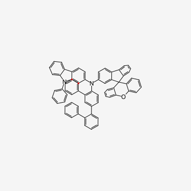 c1ccc(-c2ccccc2-c2ccc(N(c3ccc4c(c3)C3(c5ccccc5Oc5ccccc53)c3ccccc3-4)c3ccc4c5ccccc5n(-c5ccccc5)c4c3)c(-c3ccccc3)c2)cc1